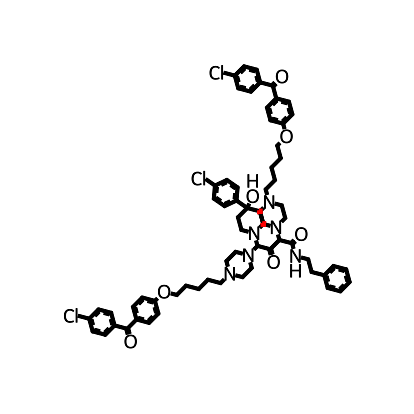 O=C(c1ccc(Cl)cc1)c1ccc(OCCCCCN2CCN(C(C(=O)NCCc3ccccc3)C(=O)C(N3CCN(CCCCCOc4ccc(C(=O)c5ccc(Cl)cc5)cc4)CC3)N3CCC(O)(c4ccc(Cl)cc4)CC3)CC2)cc1